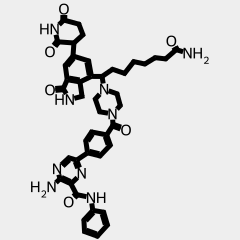 NC(=O)CCCCCCC(c1cc(C2CCC(=O)NC2=O)cc2c1CNC2=O)N1CCN(C(=O)c2ccc(-c3cnc(N)c(C(=O)Nc4ccccc4)n3)cc2)CC1